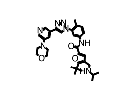 Cc1ccc(NC(=O)c2cc(CNC(C)C)c(C(C)(C)C)o2)cc1-n1cc(-c2cncc(N3CCOCC3)c2)nn1